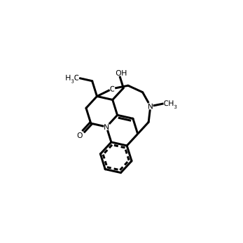 CCC12CCCN(C)CC3C=C(C1CO)N(C(=O)C2)c1ccccc13